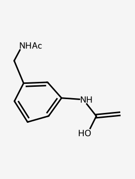 C=C(O)Nc1cccc(CNC(C)=O)c1